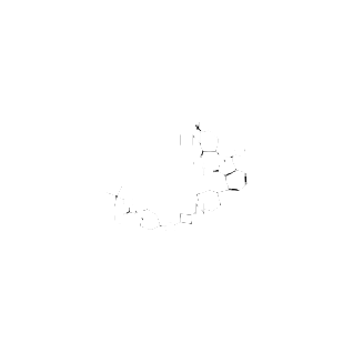 CC(C)(C)OC(=O)N1CCC(OC2CC(N3CCC(c4cccc5c4C(=O)N(C4CCC(=O)NC4=O)C5=O)CC3)C2)CC1